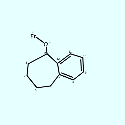 CCOC1CCCCc2ccccc21